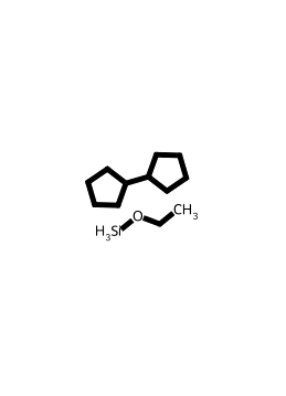 C1CCC(C2CCCC2)C1.CCO[SiH3]